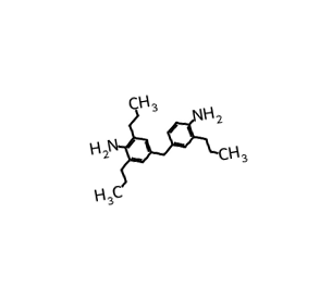 CCCc1cc(Cc2cc(CCC)c(N)c(CCC)c2)ccc1N